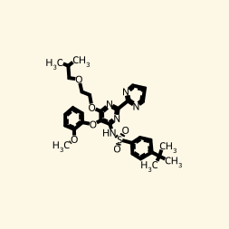 COc1ccccc1Oc1c(NS(=O)(=O)c2ccc(C(C)(C)C)cc2)nc(-c2ncccn2)nc1OCCOCC(C)C